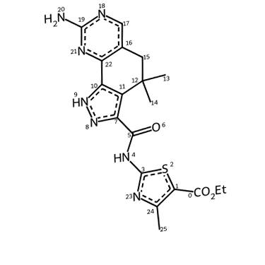 CCOC(=O)c1sc(NC(=O)c2n[nH]c3c2C(C)(C)Cc2cnc(N)nc2-3)nc1C